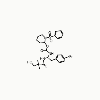 CC(C)c1ccc(C[C@H](NC(=O)O[C@H]2CCCCN2S(=O)(=O)c2ccccc2)NC(=O)C(C)(C)CO)cc1